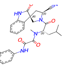 CC(C)C[C@@H](C(=O)N1C[C@]2(C[C@H]1C#N)C(=O)Nc1ccccc12)N(C)C(=O)C(=O)Nc1ccc(F)c(F)c1